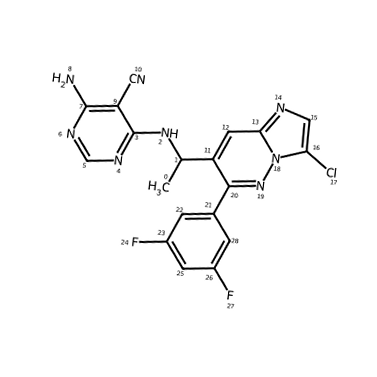 CC(Nc1ncnc(N)c1C#N)c1cc2ncc(Cl)n2nc1-c1cc(F)cc(F)c1